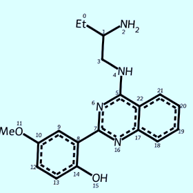 CCC(N)CNc1nc(-c2cc(OC)ccc2O)nc2ccccc12